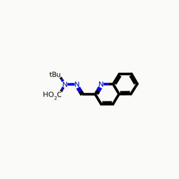 CC(C)(C)N(N=Cc1ccc2ccccc2n1)C(=O)O